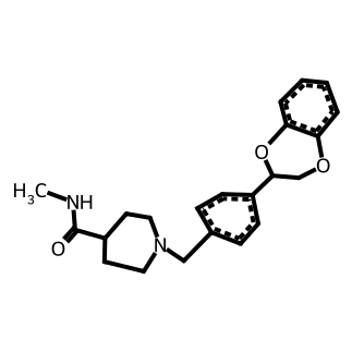 CNC(=O)C1CCN(Cc2ccc(C3COc4ccccc4O3)cc2)CC1